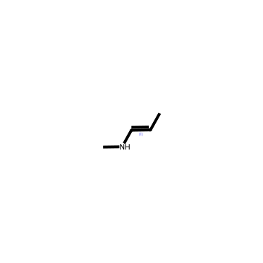 C/C=C/NC